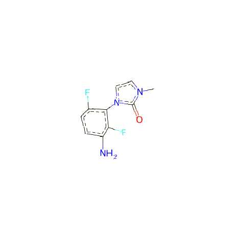 Cn1ccn(-c2c(F)ccc(N)c2F)c1=O